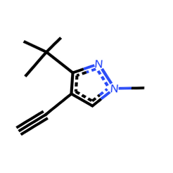 C#Cc1cn(C)nc1C(C)(C)C